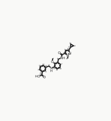 COc1c(CNC(=O)c2cc(C3CC3)nn2C)cccc1NCc1cccc(C(=O)O)c1